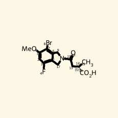 COc1cc(F)c2c(c1Br)CN(C(=O)C[C@H](C)C(=O)O)C2